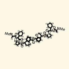 CN[C@@H](C)C(=O)N[C@H](C(=O)N1CCC[C@H]1C(=O)N[C@@H]1CCOc2c(NC(=O)c3cccc4c3OCC[C@H]4NC(=O)[C@@H]3CCCN3C(=O)[C@@H](NC(=O)[C@H](C)NC)C3CCCCC3)cccc21)C1CCCCC1